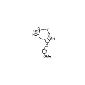 COc1ccc(COc2cc(O)c3c(c2)/C=C/CC(O)C(O)C(=O)/C=C\[C@@H](C)[C@H](C)OC3=O)cc1